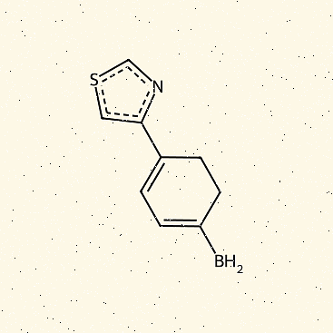 BC1=CC=C(c2cscn2)CC1